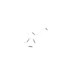 O=C(O)CCc1c[nH]c2c(Br)cccc12